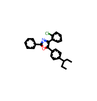 CCC(CC)c1ccc(-c2oc(-c3ccccc3)nc2-c2ccccc2Cl)cc1